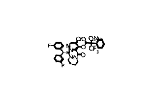 COC(C(=O)Oc1c2n(ncc1=O)[C@@H](C(c1cccc(F)c1)c1cccc(F)c1)N1CCCCN1C2=O)(c1ccccc1)C(F)(F)F